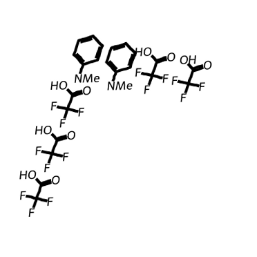 CNc1ccccc1.CNc1ccccc1.O=C(O)C(F)(F)F.O=C(O)C(F)(F)F.O=C(O)C(F)(F)F.O=C(O)C(F)(F)F.O=C(O)C(F)(F)F